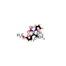 COc1ccc(C(N(C(=O)O)c2ccco2)C(C)(C)C)o1